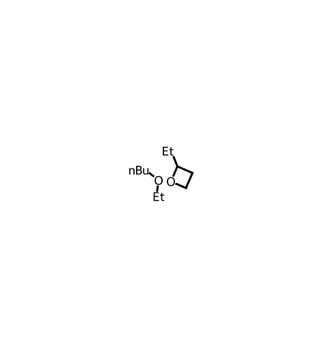 CCC1CCO1.CCCCOCC